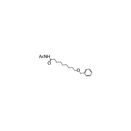 CC(=O)NC(=O)CCCCCCCCOCc1ccccc1